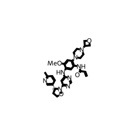 C=CC(=O)Nc1cc(Nc2cc(N3OCC[C@@H]3c3ccc(C)nc3)ncn2)c(OC)cc1N1CCN(C2COC2)CC1